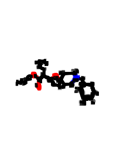 C=CCC(C(=O)OC)C1CCC2(CCN(Cc3ccccc3)CC2)O1